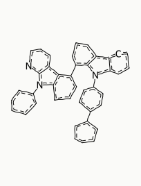 c1ccc(-c2ccc(-n3c4ccccc4c4cccc(-c5cccc6c5c5cccnc5n6-c5ccccc5)c43)cc2)cc1